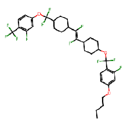 CCCCOc1ccc(C(F)(F)OC2CCC(/C(F)=C(\F)C3CCC(C(F)(F)Oc4ccc(C(F)(F)F)c(F)c4)CC3)CC2)c(F)c1